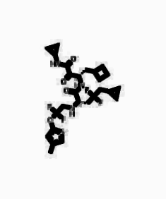 Cc1csc(OC(F)(F)CN[C@@H](CC(F)(F)CC2CC2)C(=O)N[C@@H](CC2CCC2)C(=O)C(=O)NC2CC2)c1